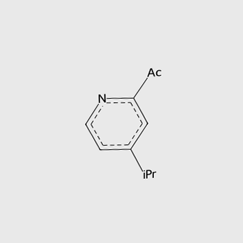 CC(=O)c1cc(C(C)C)ccn1